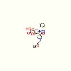 CCOCCN1CCC(c2ccccc2)(c2nc(-c3ccccc3)no2)CC1.O=C(O)C(=O)O